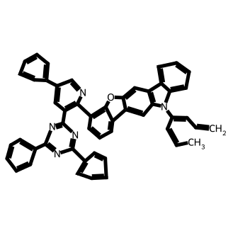 C=C/C=C(\C=C/C)n1c2ccccc2c2cc3oc4c(-c5ncc(-c6ccccc6)cc5-c5nc(-c6ccccc6)nc(-c6ccccc6)n5)cccc4c3cc21